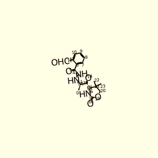 C[C@@H](NNC(=O)c1ccccc1C=O)C(=O)[C@H]1NC(=O)OCC1(C)C